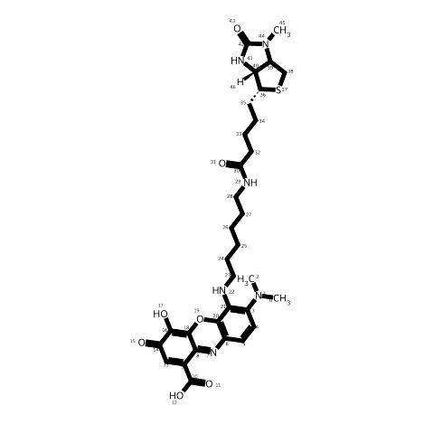 CN(C)c1ccc2nc3c(C(=O)O)cc(=O)c(O)c-3oc2c1NCCCCCCNC(=O)CCCC[C@H]1SCC2[C@H]1NC(=O)N2C